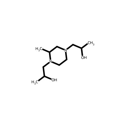 CC(O)CN1CCN(CC(C)O)C(C)C1